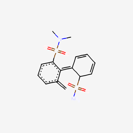 C=c1cccc(S(=O)(=O)N(C)C)c1=C1C=CC=CC1S(N)(=O)=O